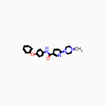 CN1CCN(c2ccc(C(=O)Nc3ccc(Oc4ccccc4)cc3)cn2)CC1